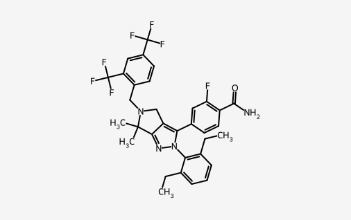 CCc1cccc(CC)c1-n1nc2c(c1-c1ccc(C(N)=O)c(F)c1)CN(Cc1ccc(C(F)(F)F)cc1C(F)(F)F)C2(C)C